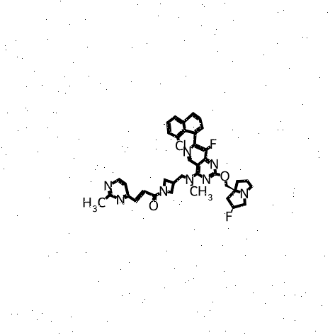 Cc1nccc(/C=C/C(=O)N2CC(CN(C)c3nc(OC[C@@]45CCCN4C[C@H](F)C5)nc4c(F)c(-c5cccc6cccc(Cl)c56)ncc34)C2)n1